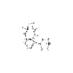 FC1(F)Oc2cccc(N3CCNCC3)c2OC1(F)F